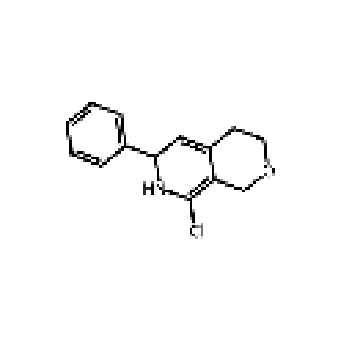 ClC1=C2COCCC2=CC(c2ccccc2)N1